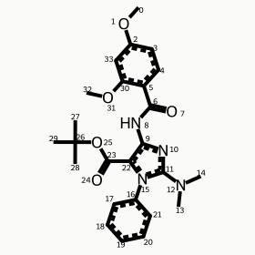 COc1ccc(C(=O)Nc2nc(N(C)C)n(-c3ccccc3)c2C(=O)OC(C)(C)C)c(OC)c1